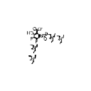 CC[N+](C)(CC)CC.CC[N+](C)(CC)CC.CC[N+](C)(CC)CC.CC[N+](C)(CC)CC.O=C([O-])c1ccc(F)c(F)c1O.[O-]B([O-])[O-]